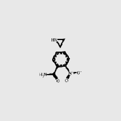 C1CN1.NC(=O)c1ccccc1[N+](=O)[O-]